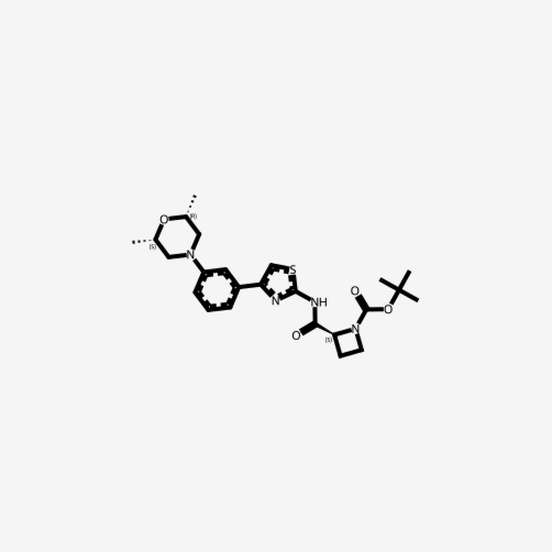 C[C@@H]1CN(c2cccc(-c3csc(NC(=O)[C@@H]4CCN4C(=O)OC(C)(C)C)n3)c2)C[C@H](C)O1